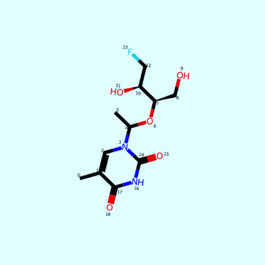 Cc1cn(C(C)O[C@H](CO)[C@@H](O)CF)c(=O)[nH]c1=O